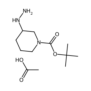 CC(=O)O.CC(C)(C)OC(=O)N1CCCC(NN)C1